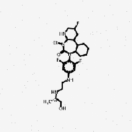 CCN1C(=O)N(c2c(F)cc(NCCN[C@@H](C)CO)cc2F)C2CCCCC2C2CC(F)CNC21